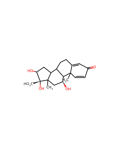 CC12C=CC(=O)C=C1CCC1C2[C@@H](O)CC2(C)C1CC(O)[C@]2(O)C(=O)O